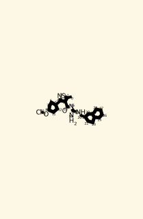 Cc1snc(-c2ccc(OCl)cc2)c1C(=O)/N=C(\N)NCc1ccc2ccccc2c1